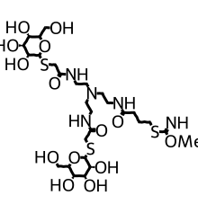 COC(=N)SCCCC(=O)NCCN(CCNC(=O)CSC1OC(CO)[C@H](O)[C@H](O)[C@@H]1O)CCNC(=O)CSC1OC(CO)[C@H](O)[C@H](O)[C@@H]1O